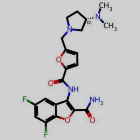 CN(C)[C@H]1CCN(Cc2ccc(C(=O)Nc3c(C(N)=O)oc4c(F)cc(F)cc34)o2)C1